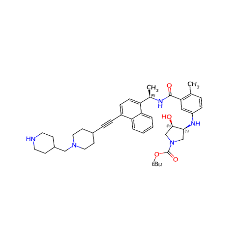 Cc1ccc(N[C@H]2CN(C(=O)OC(C)(C)C)C[C@H]2O)cc1C(=O)N[C@H](C)c1ccc(C#CC2CCN(CC3CCNCC3)CC2)c2ccccc12